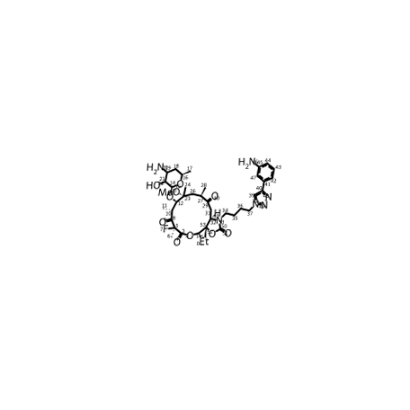 CC[C@H]1OC(=O)[C@@](C)(F)C(=O)[C@H](C)[C@@H](O[C@@H]2O[C@H](C)CC(N)C2O)[C@](C)(OC)C[C@@H](C)C(=O)C[C@H]2N(CCCCn3cc(-c4cccc(N)c4)nn3)C(=O)O[C@]12C